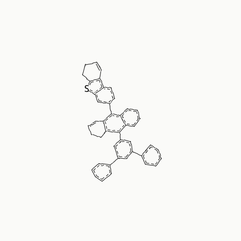 C1=Cc2c(sc3cc(-c4c5c(c(-c6cc(-c7ccccc7)cc(-c7ccccc7)c6)c6ccccc46)CCC=C5)ccc23)CC1